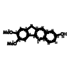 COc1cc2c(cc1OC)-c1nc3ccc(O)cc3cc1C2